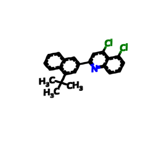 CC(C)(C)c1cc(-c2cc(Cl)c3c(Cl)cccc3n2)cc2ccccc12